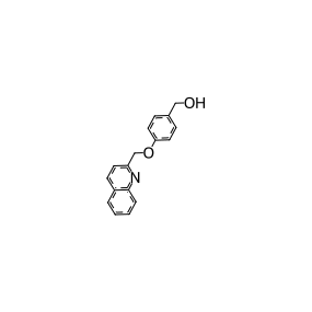 OCc1ccc(OCc2ccc3ccccc3n2)cc1